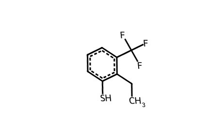 CCc1c(S)cccc1C(F)(F)F